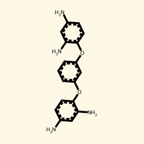 Nc1ccc(Oc2cccc(Oc3ccc(N)cc3N)c2)c(N)c1